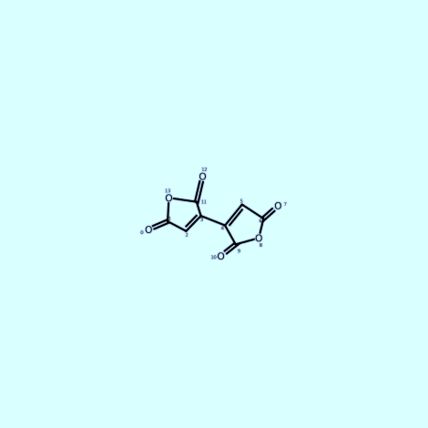 O=C1C=C(C2=CC(=O)OC2=O)C(=O)O1